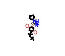 CC(C)(C)CC(C)(C)C1=CC(=O)C(Sc2nnnn2-c2ccccc2)=CC1=O